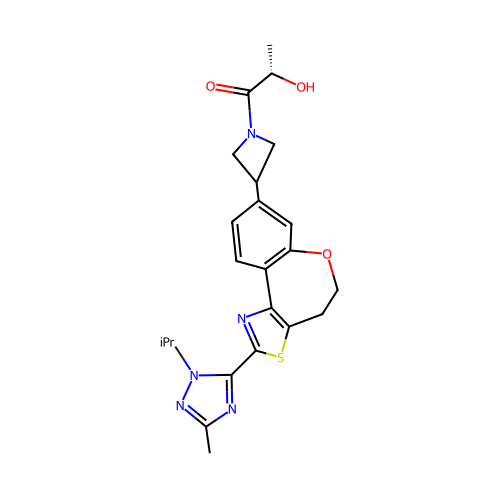 Cc1nc(-c2nc3c(s2)CCOc2cc(C4CN(C(=O)[C@H](C)O)C4)ccc2-3)n(C(C)C)n1